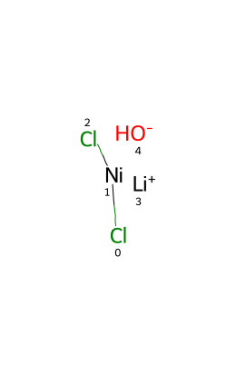 [Cl][Ni][Cl].[Li+].[OH-]